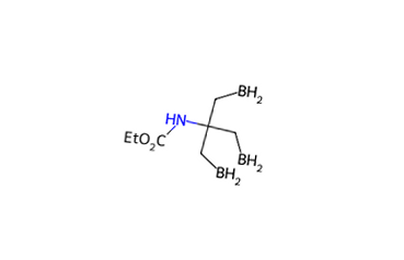 BCC(CB)(CB)NC(=O)OCC